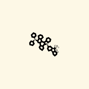 CC1(C)c2ccccc2-c2ccc(-n3c4ccccc4c4c5c6ccccc6c(N(c6ccccc6)c6ccccc6)cc5c5ccccc5c43)cc21